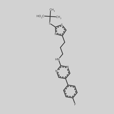 CC(C)(Sc1nc(CCCNc2ncc(-c3ccc(F)cc3)cn2)cs1)C(=O)O